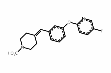 O=C(O)N1CCC(=Cc2cccc(Oc3ccc(F)cn3)c2)CC1